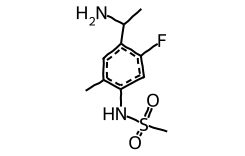 Cc1cc(C(C)N)c(F)cc1NS(C)(=O)=O